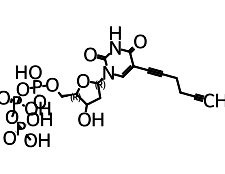 C#CCCC#Cc1cn([C@H]2CC(O)[C@@H](COP(=O)(O)OP(=O)(O)OP(=O)(O)O)O2)c(=O)[nH]c1=O